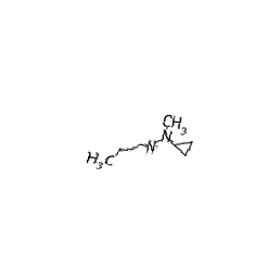 CCCC[N]N(C)C1CC1